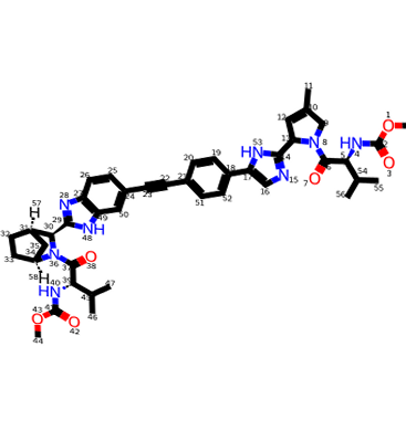 COC(=O)N[C@H](C(=O)N1CC(C)=CC1c1ncc(-c2ccc(C#Cc3ccc4nc([C@@H]5[C@@H]6CC[C@@H](C6)N5C(=O)[C@@H](NC(=O)OC)C(C)C)[nH]c4c3)cc2)[nH]1)C(C)C